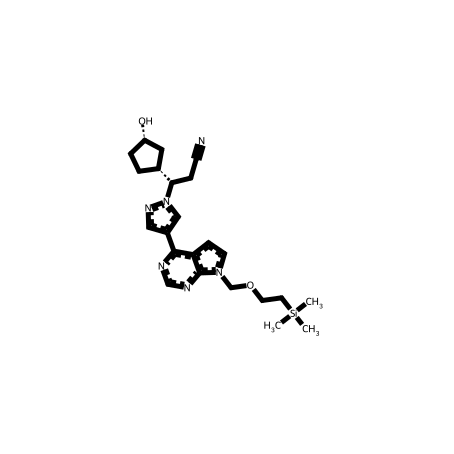 C[Si](C)(C)CCOCn1ccc2c(-c3cnn(C(CC#N)[C@@H]4CC[C@H](O)C4)c3)ncnc21